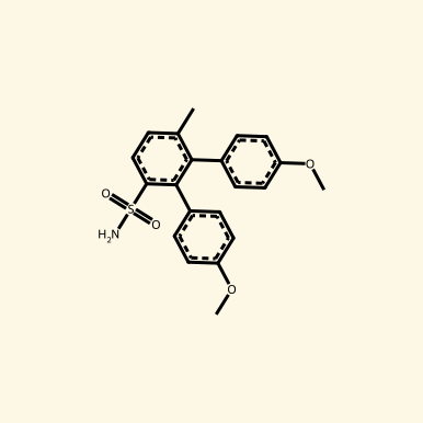 COc1ccc(-c2c(C)ccc(S(N)(=O)=O)c2-c2ccc(OC)cc2)cc1